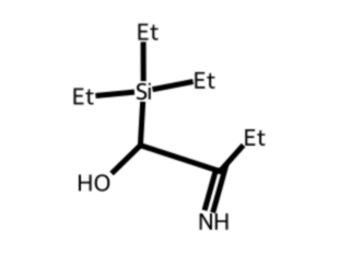 CCC(=N)C(O)[Si](CC)(CC)CC